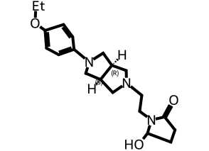 CCOc1ccc(N2C[C@H]3CN(CCN4C(=O)CCC4O)C[C@H]3C2)cc1